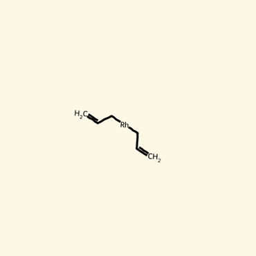 C=C[CH2][Rh][CH2]C=C